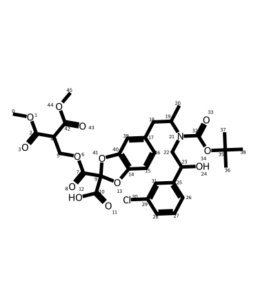 COC(=O)C(COC(=O)C1(C(=O)O)Oc2ccc(CC(C)N(CC(O)c3cccc(Cl)c3)C(=O)OC(C)(C)C)cc2O1)C(=O)OC